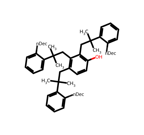 CCCCCCCCCCc1ccccc1C(C)(C)Cc1ccc(O)c(CC(C)(C)c2ccccc2CCCCCCCCCC)c1CC(C)(C)c1ccccc1CCCCCCCCCC